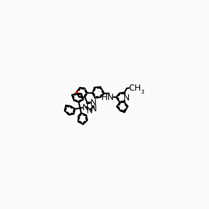 CCc1cc(NCc2ccc(-c3ccccc3-c3nnnn3C(c3ccccc3)(c3ccccc3)c3ccccc3)cc2)c2ccccc2n1